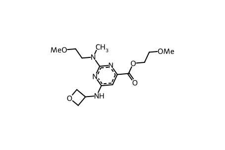 COCCOC(=O)c1cc(NC2COC2)nc(N(C)CCOC)n1